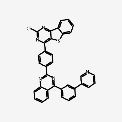 Clc1nc(-c2ccc(-c3nc(-c4cccc(-c5cccnc5)c4)c4ccccc4n3)cc2)c2sc3ccccc3c2n1